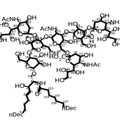 CCCCCCCCCCCCC/C=C/[C@@H](O)[C@H](CO[C@@H]1OC(CO)[C@@H](O[C@@H]2OC(CO)[C@H](O[C@@H]3OC(CO[C@]4(C(=O)O)CC(O)[C@@H](NC(C)=O)C([C@H](O)[C@H](O)CO)O4)[C@H](O)[C@H](O[C@@H]4OC(CO)[C@H](O)[C@H](O[C@]5(C(=O)O)CC(O)[C@@H](NC(C)=O)C([C@H](O)[C@H](O)CO)O5)C4O)C3NC(C)=O)[C@H](O[C@]3(C(=O)O)CC(O)[C@@H](NC(C)=O)C([C@H](O)[C@H](O)CO)O3)C2O)[C@H](O)C1O)NC(=O)CCCCCCCCCCCCCCC